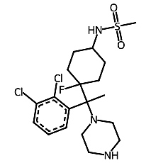 CC(c1cccc(Cl)c1Cl)(N1CCNCC1)C1(F)CCC(NS(C)(=O)=O)CC1